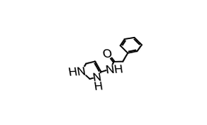 O=C(Cc1ccccc1)NC1=CCNCN1